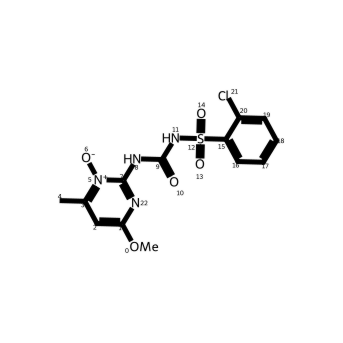 COc1cc(C)[n+]([O-])c(NC(=O)NS(=O)(=O)c2ccccc2Cl)n1